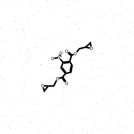 O=C(OCC1CO1)c1ccc(C(=O)OCC2CO2)c([N+](=O)[O-])c1